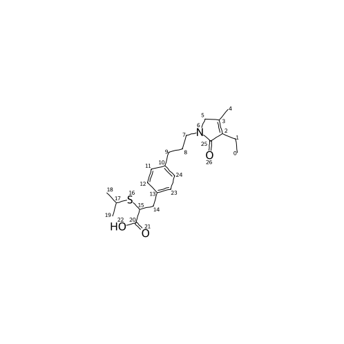 CCC1=C(C)CN(CCCc2ccc(CC(SC(C)C)C(=O)O)cc2)C1=O